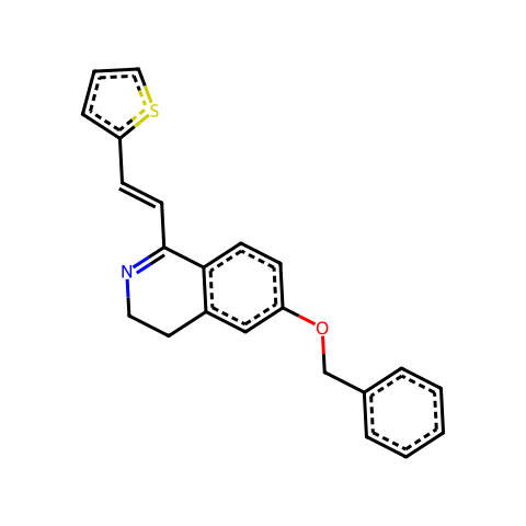 C(=Cc1cccs1)C1=NCCc2cc(OCc3ccccc3)ccc21